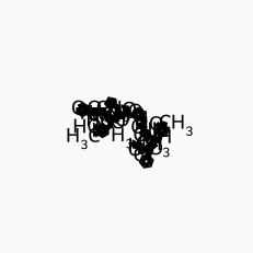 Cc1ccc(CC(NC(=O)C(C)NC(=O)CN2CCOC(CC3(C(=O)C(CC4=CCCC4)NC(=O)C(Cc4ccc(C)c(O)c4)NC(=O)C(C)NC(=O)CN4CCOCC4)CO3)C2)C(=O)NC(CC2=CCCCC2)C(=O)C2(C)CO2)cc1O